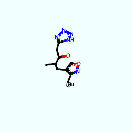 CC(Cc1conc1C(C)(C)C)C(=O)Cc1nnn[nH]1